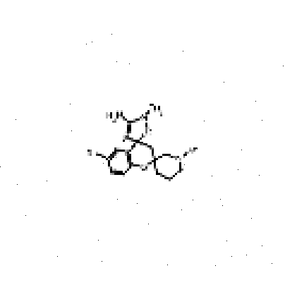 CC(=O)N1CCCC2(C1)CC1(N=C(N)N(C)O1)c1cc(Br)ccc1O2